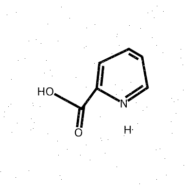 O=C(O)c1ccccn1.[H]